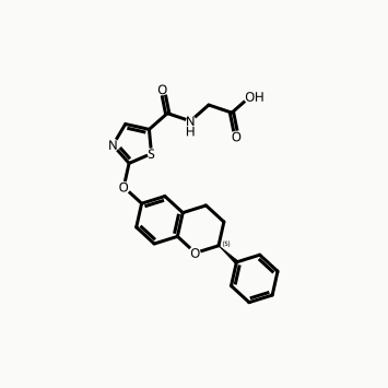 O=C(O)CNC(=O)c1cnc(Oc2ccc3c(c2)CC[C@@H](c2ccccc2)O3)s1